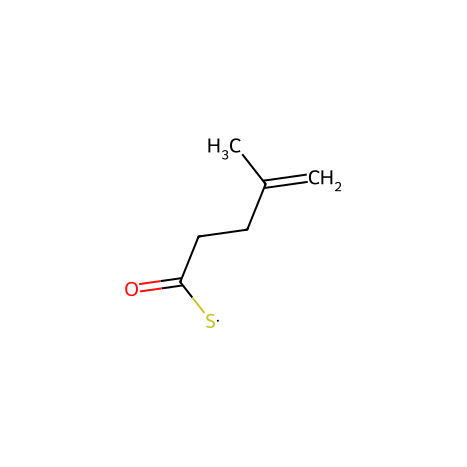 C=C(C)CCC(=O)[S]